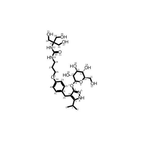 CC(C)c1[nH]nc(O[C@@H]2O[C@H](CO)[C@@H](O)[C@H](O)[C@H]2O)c1Cc1ccc(OCCCNC(=O)NC(CO)(CO)CO)cc1